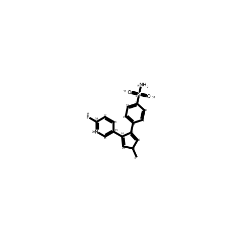 CC1C=C(c2ccc(S(N)(=O)=O)cc2)C(c2ccc(F)nc2)=C1